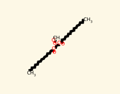 CCCCCCCCCCCCCCCCC(=O)OCC(COC(=O)CCCCCCCCCCCCCCCC)OCOC